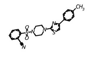 Cc1ccc(-c2csc(N3CCN(S(=O)(=O)c4ccccc4C#N)CC3)n2)cc1